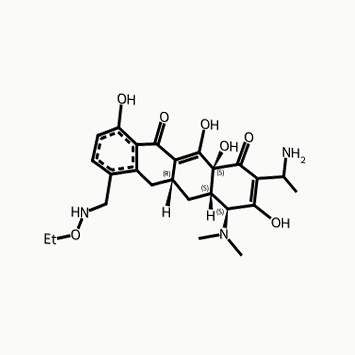 CCONCc1ccc(O)c2c1C[C@H]1C[C@H]3[C@H](N(C)C)C(O)=C(C(C)N)C(=O)[C@@]3(O)C(O)=C1C2=O